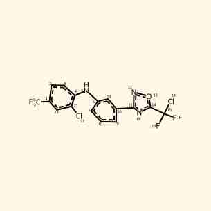 FC(F)(F)c1ccc(Nc2[c]ccc(-c3noc(C(F)(F)Cl)n3)c2)c(Cl)c1